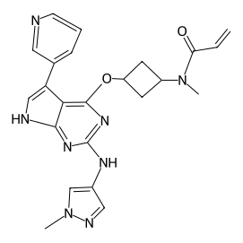 C=CC(=O)N(C)C1CC(Oc2nc(Nc3cnn(C)c3)nc3[nH]cc(-c4cccnc4)c23)C1